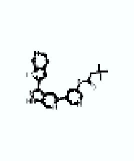 CC(C)(C)CC(=O)Nc1cncc(-c2cc3c(-c4cc5ccncc5[nH]4)n[nH]c3cn2)c1